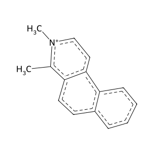 Cc1c2ccc3ccccc3c2cc[n+]1C